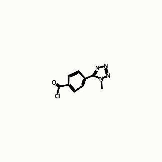 Cn1nnnc1-c1ccc(C(=O)Cl)cc1